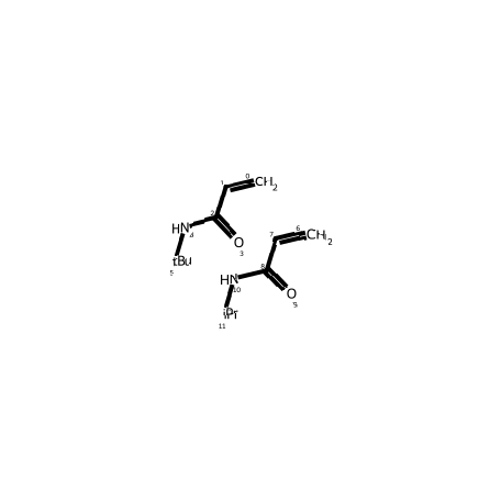 C=CC(=O)NC(C)(C)C.C=CC(=O)NC(C)C